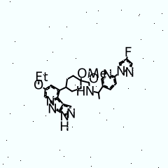 CCOc1cc(C2CCC(OC)(C(=O)NC(C)c3ccc(-n4cc(F)cn4)nc3)CC2)c2c3cn[nH]c3nn2c1